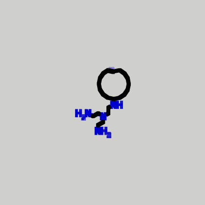 NCCN(CCN)CCNC1CCCCCC/C=C/CCCCCCC1